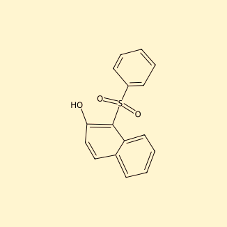 O=S(=O)(c1ccccc1)c1c(O)ccc2ccccc12